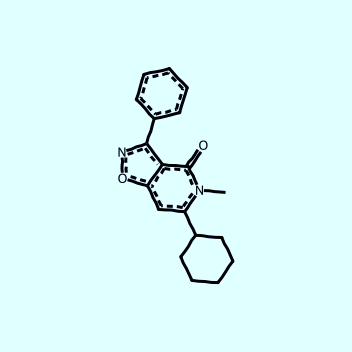 Cn1c(C2CCCCC2)cc2onc(-c3ccccc3)c2c1=O